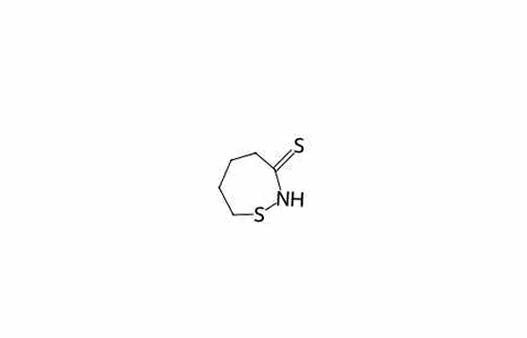 S=C1CCCCSN1